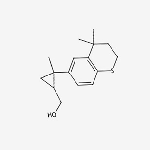 CC1(C)CCSc2ccc(C3(C)CC3CO)cc21